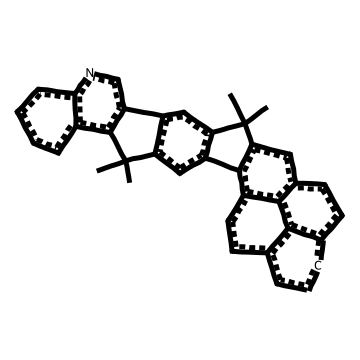 CC1(C)c2cc3c(cc2-c2c1cc1ccc4cccc5ccc2c1c45)C(C)(C)c1c-3cnc2ccccc12